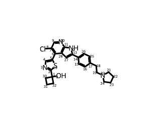 OC1(c2ncc(-c3c(Cl)cnc4[nH]c(-c5ccc(CCN6CCCC6)cc5)cc34)s2)CCC1